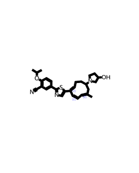 C\C1=C/C=C\C(c2cnc(-c3ccc(OC(C)C)c(C#N)c3)s2)=C\CCC(N2CCC(O)C2)C1